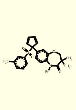 CCN1C(=O)C(C)(C)COc2cc(C3(S(=O)(=O)c4cccc(C(F)(F)F)c4)C=CC=C3)ccc21